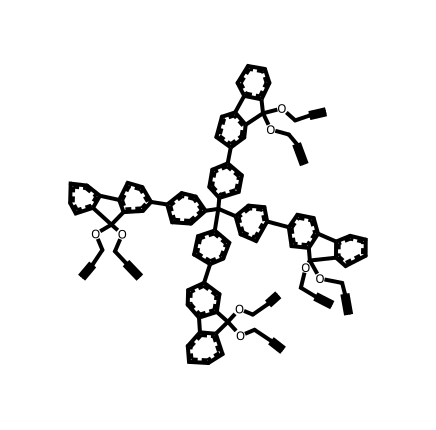 C#CCOC1(OCC#C)c2ccccc2-c2ccc(-c3ccc(C(c4ccc(-c5ccc6c(c5)C(OCC#C)(OCC#C)c5ccccc5-6)cc4)(c4ccc(-c5ccc6c(c5)C(OCC#C)(OCC#C)c5ccccc5-6)cc4)c4ccc(-c5ccc6c(c5)C(OCC#C)(OCC#C)c5ccccc5-6)cc4)cc3)cc21